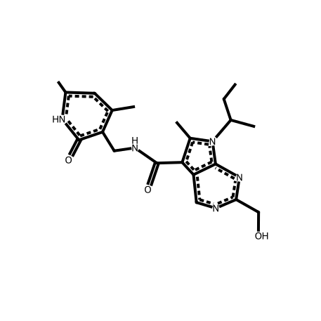 CCC(C)n1c(C)c(C(=O)NCc2c(C)cc(C)[nH]c2=O)c2cnc(CO)nc21